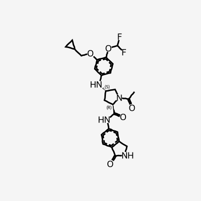 CC(=O)N1C[C@@H](Nc2ccc(OC(F)F)c(OCC3CC3)c2)C[C@@H]1C(=O)Nc1ccc2c(c1)CNC2=O